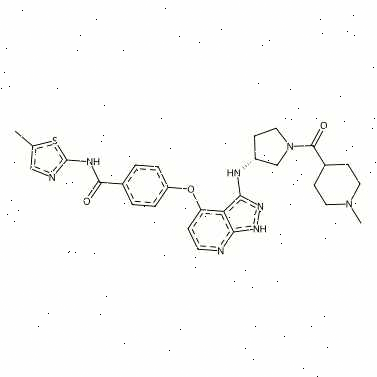 Cc1cnc(NC(=O)c2ccc(Oc3ccnc4[nH]nc(N[C@@H]5CCN(C(=O)C6CCN(C)CC6)C5)c34)cc2)s1